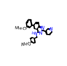 COc1ccc(CNc2nc(-c3cccnc3)nc3ccc(-c4cccc(OC)c4)cc23)cc1